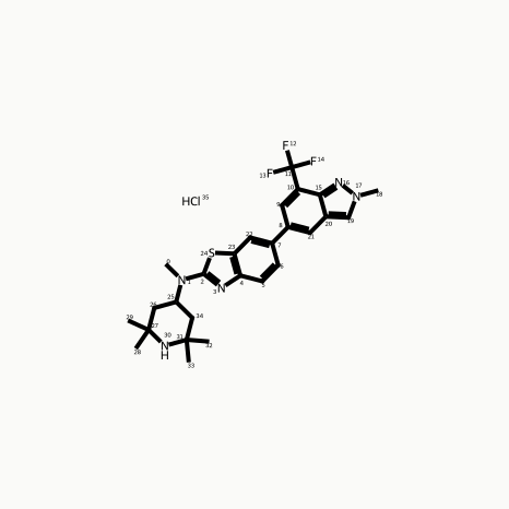 CN(c1nc2ccc(-c3cc(C(F)(F)F)c4nn(C)cc4c3)cc2s1)C1CC(C)(C)NC(C)(C)C1.Cl